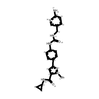 CC(C)n1nc(-c2ccc(NC(=O)NCc3ccc(N)nc3)cc2)cc1C(=O)NC1CC1